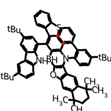 CC(C)(C)c1ccc(N2c3cc4sc5ccccc5c4c(-c4cc(C(C)(C)C)cc5c4[nH]c4ccc(C(C)(C)C)cc45)c3Bc3oc4cc5c(cc4c32)C(C)(C)CCC5(C)C)c(-c2ccccc2)c1